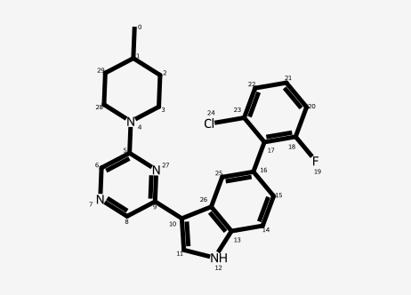 CC1CCN(c2cncc(-c3c[nH]c4ccc(-c5c(F)cccc5Cl)cc34)n2)CC1